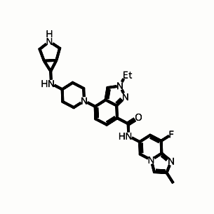 CCn1cc2c(N3CCC(NC4C5CNCC54)CC3)ccc(C(=O)Nc3cc(F)c4nc(C)cn4c3)c2n1